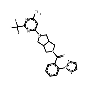 Cc1cc(N2CC3CN(C(=O)c4ccccc4-n4nccn4)CC3C2)nc(C(F)(F)F)n1